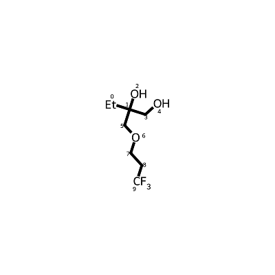 CCC(O)(CO)COCCC(F)(F)F